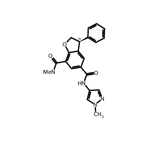 CNC(=O)c1cc(C(=O)Nc2cnn(C)c2)cc2c1OC[C@H]2c1ccccc1